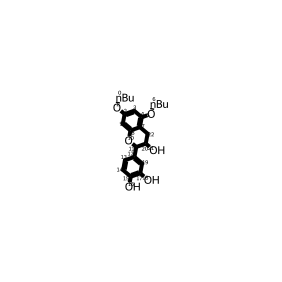 CCCCOc1cc(OCCCC)c2c(c1)OC(c1ccc(O)c(O)c1)C(O)C2